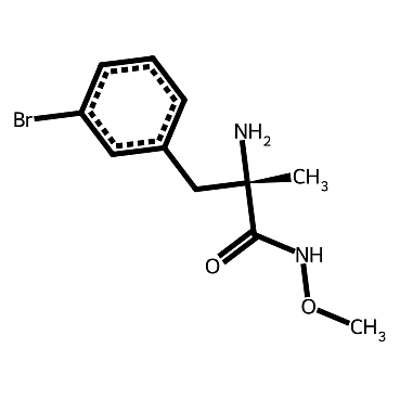 CONC(=O)[C@@](C)(N)Cc1cccc(Br)c1